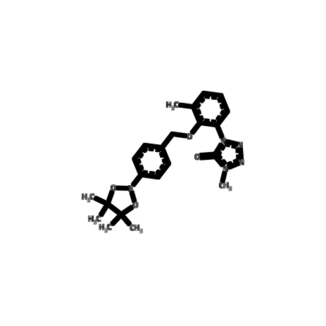 Cc1cccc(-n2nnn(C)c2=O)c1OCc1ccc(B2OC(C)(C)C(C)(C)O2)cc1